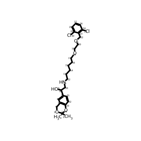 CC1(C)OCc2cc(C(O)CNCCCCCCOCCOCc3c(Cl)cccc3Cl)ccc2O1